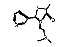 CC1SC(c2cccnc2)N(CCN(C)C)C1=O